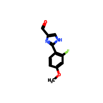 COc1ccc(-c2nc(C=O)c[nH]2)c(F)c1